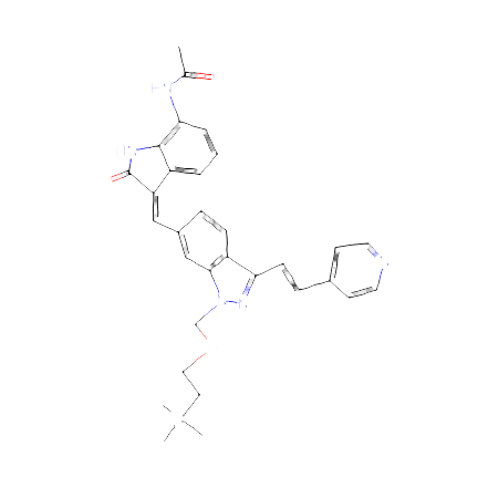 CC(=O)Nc1cccc2c1NC(=O)/C2=C/c1ccc2c(/C=C/c3ccncc3)nn(COCC[Si](C)(C)C)c2c1